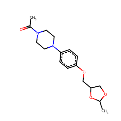 CC(=O)N1CCN(c2ccc(OCC3COC(C)O3)cc2)CC1